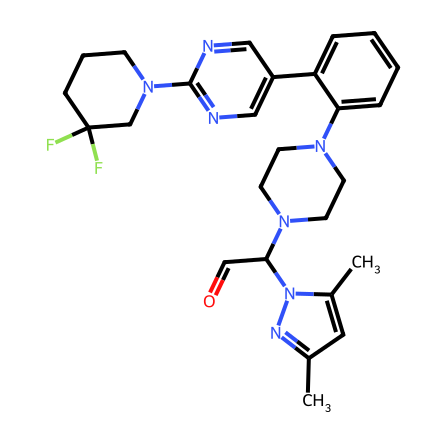 Cc1cc(C)n(C(C=O)N2CCN(c3ccccc3-c3cnc(N4CCCC(F)(F)C4)nc3)CC2)n1